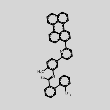 CC/C(=N\c1cc(-c2cccc(-c3ccc4c5cccc6cccc(c7cccc3c74)c65)n2)ccc1C)c1ccccc1-c1ccccc1C